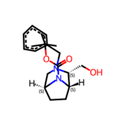 CC(C)(C)OC(=O)N1[C@H]2CC[C@H]1[C@@H](CO)N(Cc1ccccc1)C2